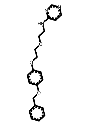 c1ccc(COc2ccc(OCCOCCNc3ccncn3)cc2)cc1